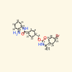 CC[C@H](NC(=O)OCc1ccc(C(=O)Nc2ccccc2N)cc1)c1ccc(Br)cc1